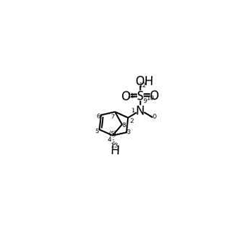 CN(C1C[C@H]2C=CC1C2)S(=O)(=O)O